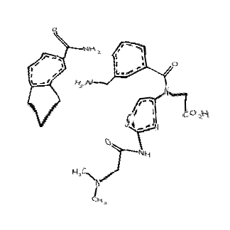 CN(C)CC(=O)Nc1nc(N(CC(=O)O)C(=O)c2cccc(CN)c2)cs1.NC(=O)c1ccc2c(c1)CCC2